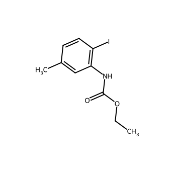 CCOC(=O)Nc1cc(C)ccc1I